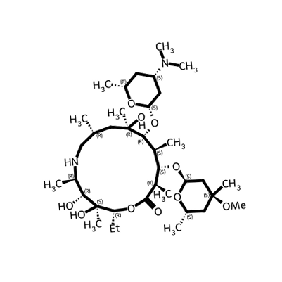 CC[C@H]1OC(=O)[C@H](C)[C@@H](O[C@H]2C[C@@](C)(OC)C[C@H](C)O2)[C@H](C)[C@@H](O[C@H]2C[C@@H](N(C)C)C[C@@H](C)O2)[C@](C)(O)C[C@@H](C)CN[C@H](C)[C@@H](O)[C@]1(C)O